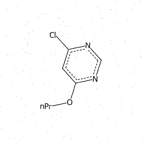 CCCOc1cc(Cl)ncn1